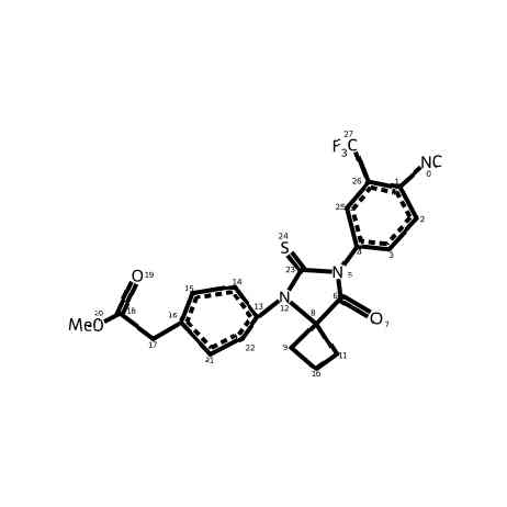 [C-]#[N+]c1ccc(N2C(=O)C3(CCC3)N(c3ccc(CC(=O)OC)cc3)C2=S)cc1C(F)(F)F